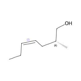 CC/C=C\C[C@@H](C)CO